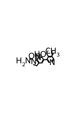 C[C@H](O)c1c(F)cncc1-c1cnc2c(c1)CCN2C(N)O